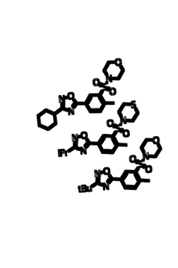 Cc1ccc(-c2nc(C(C)(C)C)no2)cc1S(=O)(=O)N1CCOCC1.Cc1ccc(-c2nc(C(C)C)no2)cc1S(=O)(=O)N1CCSCC1.Cc1ccc(-c2nc(C3CCCCC3)no2)cc1S(=O)(=O)N1CCOCC1